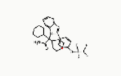 NC(=O)C(C1CCCCC1)(C1CCCCC1)n1c(-c2ccc(OC(F)(F)C(F)F)cc2)nc2ccccc21